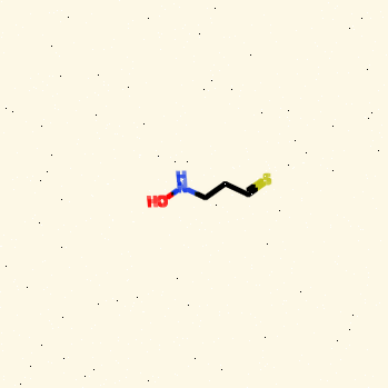 ONCCC=S